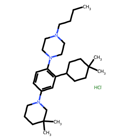 CCCCN1CCN(c2ccc(N3CCCC(C)(C)C3)cc2C2CCC(C)(C)CC2)CC1.Cl